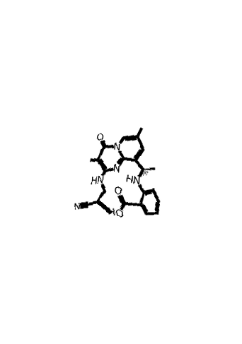 C=C(C#N)CNc1nc2c([C@@H](C)Nc3ccccc3C(=O)O)cc(C)cn2c(=O)c1C